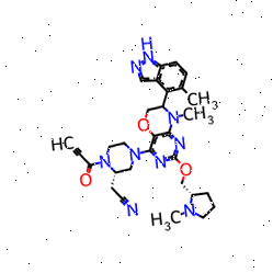 C#CC(=O)N1CCN(c2nc(OC[C@@H]3CCCN3C)nc3c2OCC(c2c(C)ccc4[nH]ncc24)N3C)C[C@@H]1CC#N